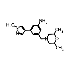 CC1CN(Cc2cc(N)cc(-c3cnn(C)c3)c2)CC(C)O1